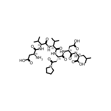 CC(C)C[C@H](NC(=O)[C@H](CC(=O)O)NC(=O)[C@H](CC(=O)N1CCCC1)NC(=O)[C@@H](NC(=O)[C@@H](NC(=O)[C@@H](N)CC(=O)O)C(C)C)C(C)C)C(=O)O